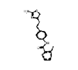 NC1=NC(CCc2ccc(NC(=O)c3ncccc3F)cc2)CO1